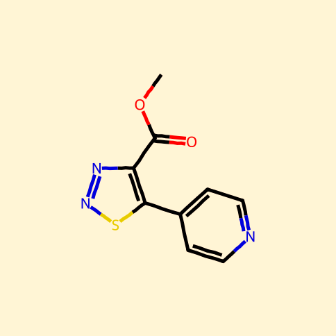 COC(=O)c1nnsc1-c1ccncc1